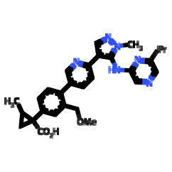 COCc1cc(C2(C(=O)O)CC2C)ccc1-c1ccc(-c2cnn(C)c2Nc2cncc(C(C)C)n2)nc1